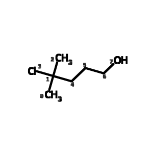 CC(C)(Cl)CCCO